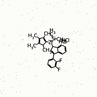 CC1=C(C)C(C)[C]([Zr]([CH]2C=C(c3cccc(F)c3F)c3ccccc32)=[Si](C)C)=C1C.Cl.Cl